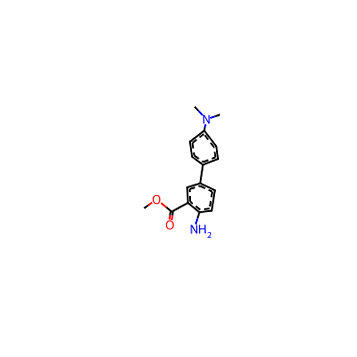 COC(=O)c1cc(-c2ccc(N(C)C)cc2)ccc1N